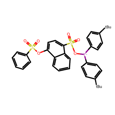 CC(C)(C)c1ccc([I+](OS(=O)(=O)c2ccc(OS(=O)(=O)c3ccccc3)c3ccccc23)c2ccc(C(C)(C)C)cc2)cc1